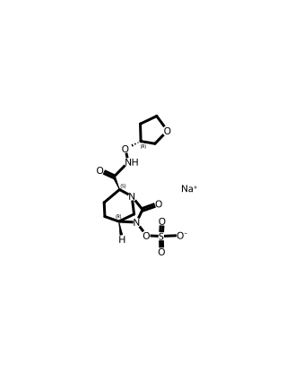 O=C(NO[C@@H]1CCOC1)[C@@H]1CC[C@@H]2CN1C(=O)N2OS(=O)(=O)[O-].[Na+]